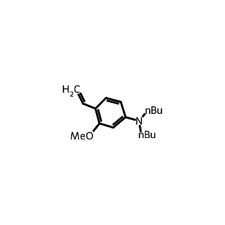 C=Cc1ccc(N(CCCC)CCCC)cc1OC